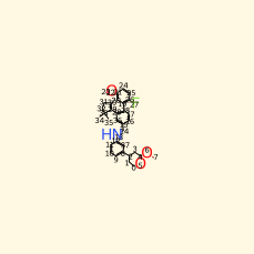 CCC(CC(=O)OC)c1cccc(NCc2ccc(-c3cc(OC)ccc3F)c(C3=CCCC3(C)C)c2)c1